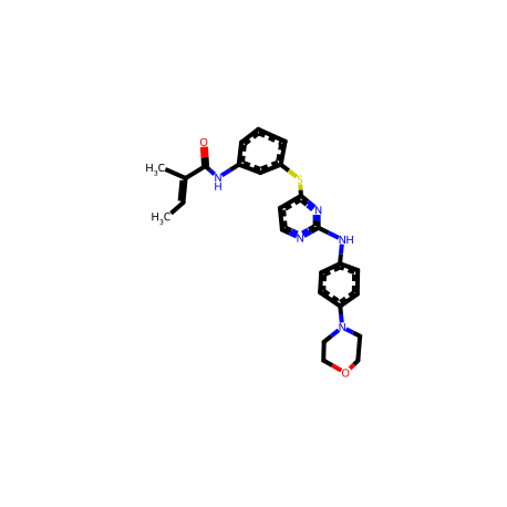 CC=C(C)C(=O)Nc1cccc(Sc2ccnc(Nc3ccc(N4CCOCC4)cc3)n2)c1